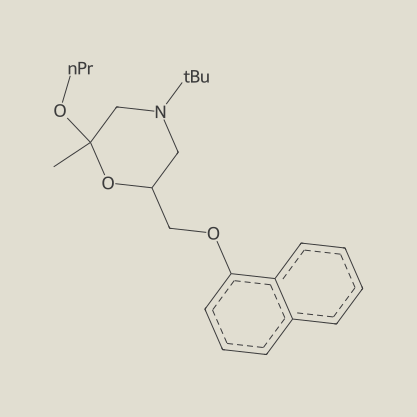 CCCOC1(C)CN(C(C)(C)C)CC(COc2cccc3ccccc23)O1